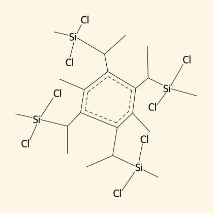 Cc1c(C(C)[Si](C)(Cl)Cl)c(C(C)[Si](C)(Cl)Cl)c(C)c(C(C)[Si](C)(Cl)Cl)c1C(C)[Si](C)(Cl)Cl